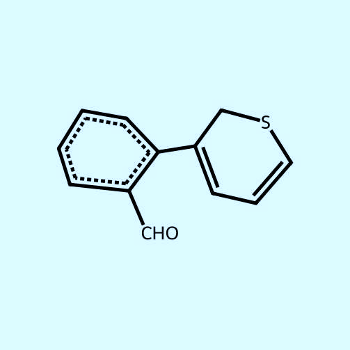 O=Cc1ccccc1C1=CC=CSC1